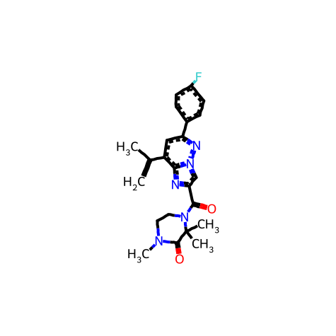 C=C(C)c1cc(-c2ccc(F)cc2)nn2cc(C(=O)N3CCN(C)C(=O)C3(C)C)nc12